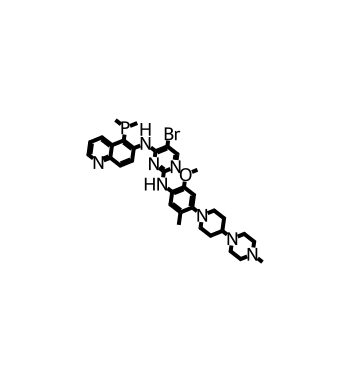 COc1cc(N2CCC(N3CCN(C)CC3)CC2)c(C)cc1Nc1ncc(Br)c(Nc2ccc3ncccc3c2P(C)C)n1